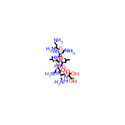 CC(C)C[C@H](NC(=O)[C@@H](CC(C)C)NC(=O)[C@H](CCN)NC(=O)[C@@H](N)CCN)C(=O)N[C@@H](CCN)C(=O)N[C@@H](CCN)C(=O)N[C@H](C(=O)O)[C@@H](C)O